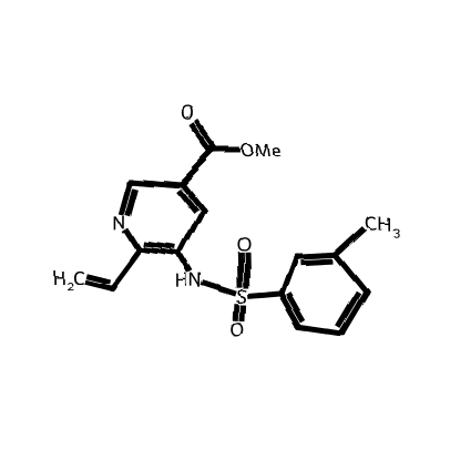 C=Cc1ncc(C(=O)OC)cc1NS(=O)(=O)c1cccc(C)c1